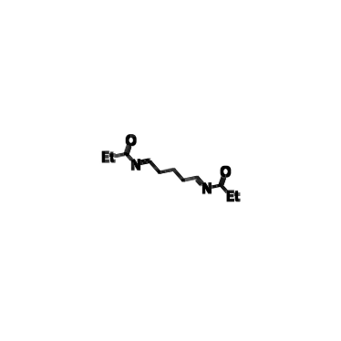 CCC(=O)N=CCCCC=NC(=O)CC